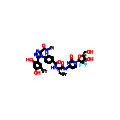 CCNC(=O)c1nnc(-c2cc(C(C)C)c(O)cc2O)n1-c1ccc(C(=O)N[C@@H](CC(C)C)C(=O)Nc2ccn([C@@H]3O[C@H](CO)[C@@H](O)C3(F)F)c(=O)n2)cc1